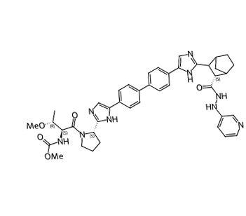 COC(=O)N[C@H](C(=O)N1CCC[C@H]1c1ncc(-c2ccc(-c3ccc(-c4cnc(C5C6CCC(C6)[C@@H]5C(=O)NNc5cccnc5)[nH]4)cc3)cc2)[nH]1)[C@@H](C)OC